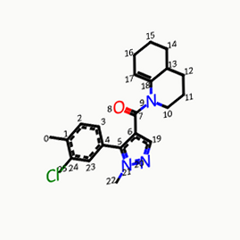 Cc1ccc(-c2c(C(=O)N3CCCC4CCCC=C43)cnn2C)cc1Cl